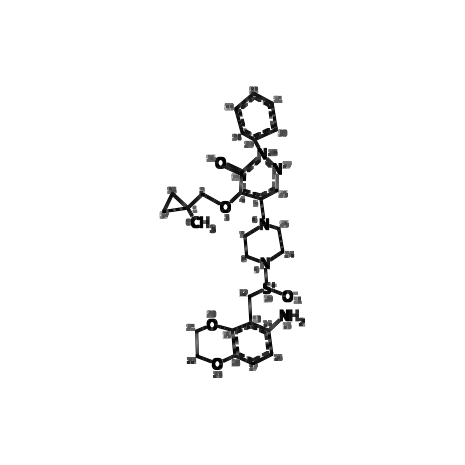 CC1(COc2c(N3CCN([S+]([O-])Cc4c(N)ccc5c4OCCO5)CC3)cnn(-c3ccccc3)c2=O)CC1